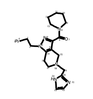 CC(C)CCn1nc(C(=O)N2CCCCC2)c2c1CCN(Cc1ncc[nH]1)C2